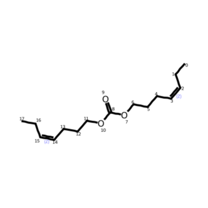 CC/C=C\CCCOC(=O)OCCC/C=C\CC